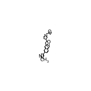 Cn1cc(-c2ccc3cnc(CC(=O)C4CCN(CC5CCO5)C4)cc3c2)cn1